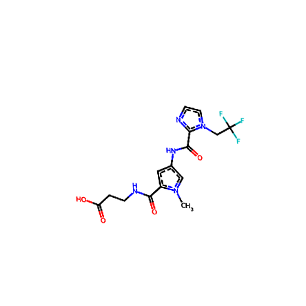 Cn1cc(NC(=O)c2nccn2CC(F)(F)F)cc1C(=O)NCCC(=O)O